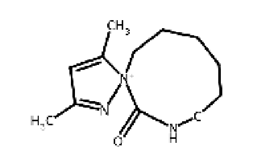 CC1=CC(C)=N[N+]12CCCCCCNC2=O